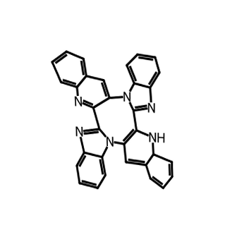 C1=CC2=Cc3c(c4nc5ccccc5n4c4cc5ccccc5nc4c4nc5ccccc5n34)NC2C=C1